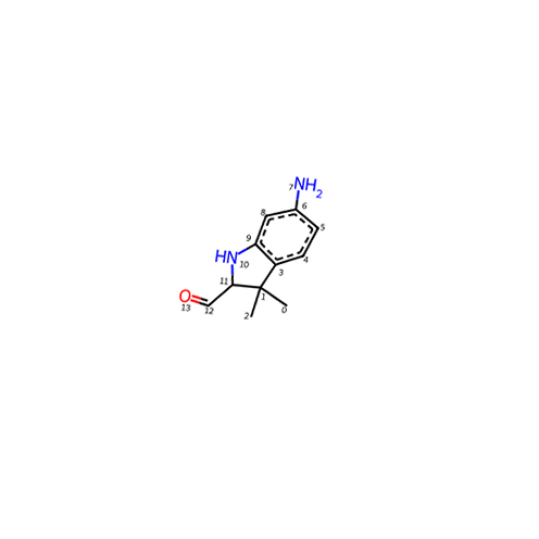 CC1(C)c2ccc(N)cc2NC1C=O